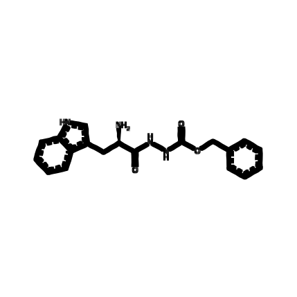 N[C@H](Cc1c[nH]c2ccccc12)C(=O)NNC(=O)OCc1ccccc1